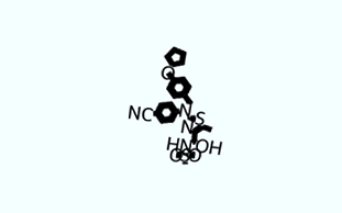 Cc1sc(N(Cc2ccc(OC3CCCC3)cc2)c2ccc(C#N)cc2)nc1C(O)NS(C)(=O)=O